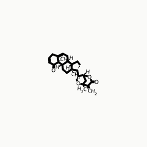 C=C1C(=O)O[C@@H]2C[C@@]1(C)OC[C@H]2[C@H]1CC[C@H]2[C@@H]3CC=C4CC=CC(=O)[C@]4(C)[C@H]3CC[C@]12C